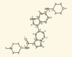 CN1CCC(NC(=O)c2cnn3ccc(-c4c[nH]c5nc(NC6CCOCC6)ncc45)cc23)CC1